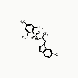 Cc1cc(C)c(S(=O)(=O)NC(Cn2ccc3ccc(Cl)cc32)C(F)(F)F)c(C)c1